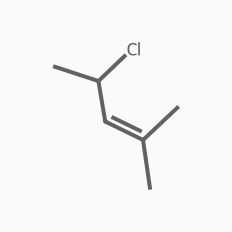 CC(C)=CC(C)Cl